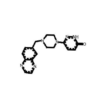 O=c1ccc(N2CCN(Cc3ccc4nccnc4c3)CC2)n[nH]1